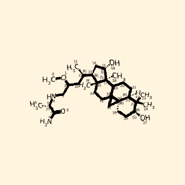 COC(CN[C@@H](C)C(N)=O)C[C@@H](C)[C@H]1C[C@H](O)[C@@]2(C)C3CC[C@H]4C(C)(C)[C@@H](O)CC[C@@]45CC35CC[C@]12C